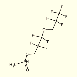 C[PH](=O)OCC(F)(F)C(F)(F)OCC(F)(F)C(F)(F)F